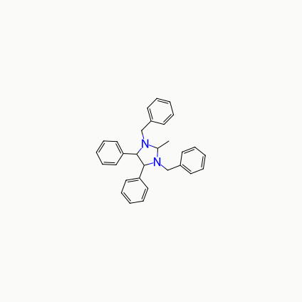 CC1N(Cc2ccccc2)C(c2ccccc2)C(c2ccccc2)N1Cc1ccccc1